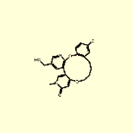 Cn1cc2c(cc1=O)OCCCCc1cc(Cl)ccc1Oc1ncc(CO)cc1-2